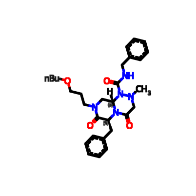 CCCCOCCCN1C[C@H]2N(C(=O)CN(C)N2C(=O)NCc2ccccc2)[C@@H](Cc2ccccc2)C1=O